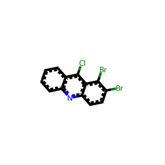 Clc1c2ccccc2nc2ccc(Br)c(Br)c12